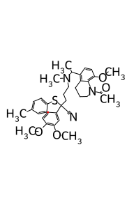 COc1ccc(C(C#N)(CCCN(C)C(C)c2ccc(OC)c3c2CCCN3C(C)=O)Sc2ccc(C)cc2)cc1OC